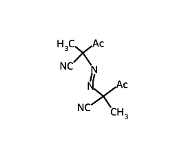 CC(=O)C(C)(C#N)N=NC(C)(C#N)C(C)=O